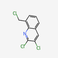 ClCc1cccc2cc(Cl)c(Cl)nc12